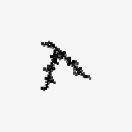 Cc1ccc(OCCN(CCCNC(=O)[C@@H](N)CCCCNC(=O)[C@@H](N)CCCCNC(=O)[C@@H](N)CCCCN)CCCNC(=O)[C@@H](N)CCCCNC(=O)[C@@H](N)CCCCNC(=O)[C@@H](N)CCCCN)cc1